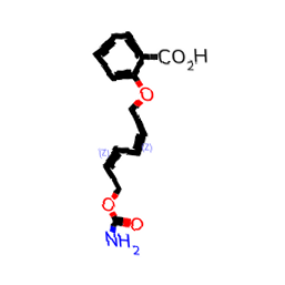 NC(=O)OC/C=C\C=C/COc1ccccc1C(=O)O